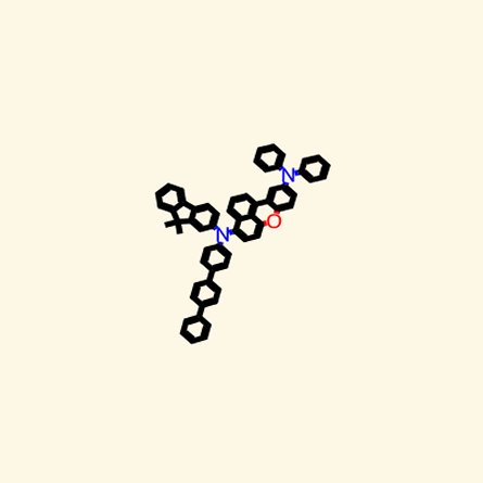 CC1(C)c2ccccc2-c2ccc(N(c3ccc(-c4ccc(-c5ccccc5)cc4)cc3)c3ccc4c5c(cccc35)-c3cc(N(c5ccccc5)c5ccccc5)ccc3O4)cc21